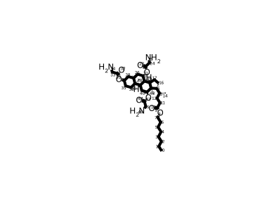 CCCCCCCCOC(=O)CC[C@@H](C)[C@H]1CC[C@H]2C3[C@H](OC(=O)CN)CC4CC(OC(=O)CN)CC[C@]4(C)[C@H]3C[C@H](OC(=O)CN)[C@]12C